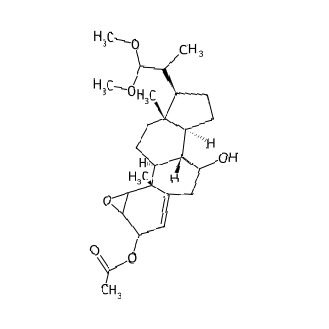 COC(OC)C(C)[C@H]1CC[C@H]2[C@@H]3C(O)CC4=CC(OC(C)=O)C5OC5[C@]4(C)[C@H]3CC[C@]12C